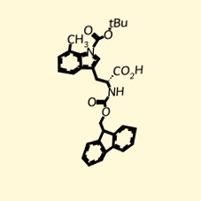 Cc1cccc2c(C[C@@H](NC(=O)OCC3c4ccccc4-c4ccccc43)C(=O)O)cn(C(=O)OC(C)(C)C)c12